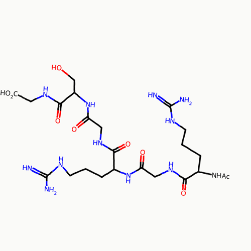 CC(=O)NC(CCCNC(=N)N)C(=O)NCC(=O)NC(CCCNC(=N)N)C(=O)NCC(=O)NC(CO)C(=O)NCC(=O)O